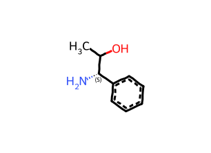 CC(O)[C@@H](N)c1ccccc1